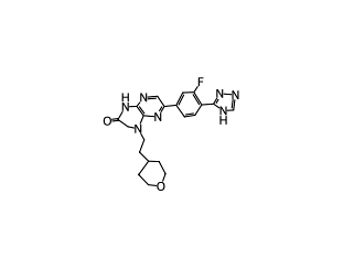 O=C1CN(CCC2CCOCC2)c2nc(-c3ccc(-c4nnc[nH]4)c(F)c3)cnc2N1